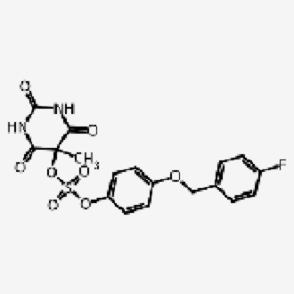 CC1(OS(=O)(=O)Oc2ccc(OCc3ccc(F)cc3)cc2)C(=O)NC(=O)NC1=O